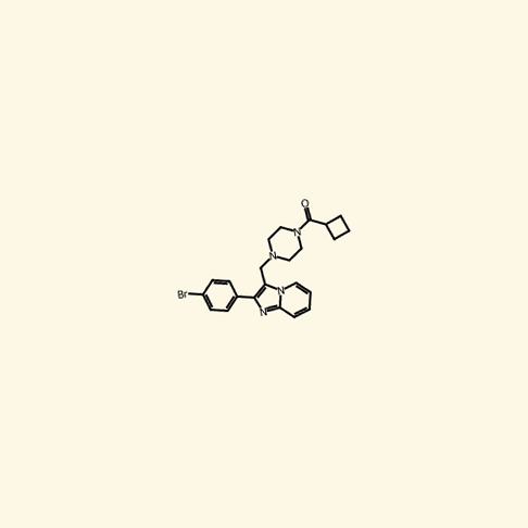 O=C(C1CCC1)N1CCN(Cc2c(-c3ccc(Br)cc3)nc3ccccn23)CC1